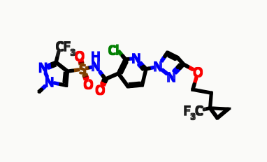 Cn1cc(S(=O)(=O)NC(=O)c2ccc(-n3ccc(OCCC4(C(F)(F)F)CC4)n3)nc2Cl)c(C(F)(F)F)n1